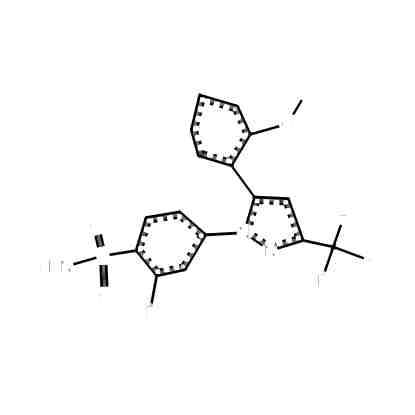 COc1ccccc1-c1cc(C(F)(F)F)nn1-c1ccc(S(N)(=O)=O)c(F)c1